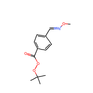 CON=Cc1ccc(C(=O)OOC(C)(C)C)cc1